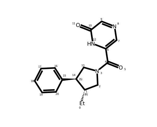 CC[C@H]1CN(C(=O)c2cncc(=O)[nH]2)C[C@@H]1c1ccccc1